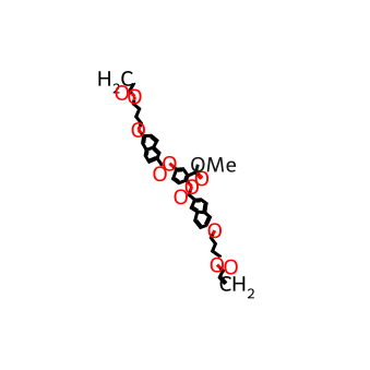 C=CC(=O)OCCCCOc1ccc2cc(C(=O)Oc3ccc(OC(=O)c4ccc5cc(OCCCCOC(=O)C=C)ccc5c4)c(C(=O)OC)c3)ccc2c1